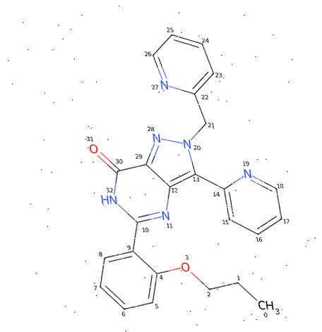 CCCOc1ccccc1-c1nc2c(-c3ccccn3)n(Cc3ccccn3)nc2c(=O)[nH]1